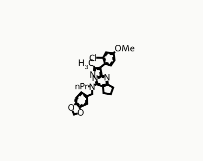 CCCN(Cc1ccc2c(c1)OCO2)c1c2c(nc3c(-c4ccc(OC)cc4Cl)c(C)nn13)CCC2